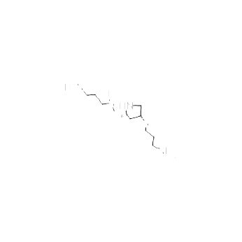 NCCCNC[C@H]1C[C@H](NCCCN)CN1